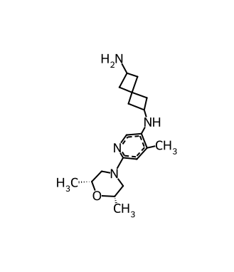 Cc1cc(N2C[C@@H](C)O[C@@H](C)C2)ncc1NC1CC2(CC(N)C2)C1